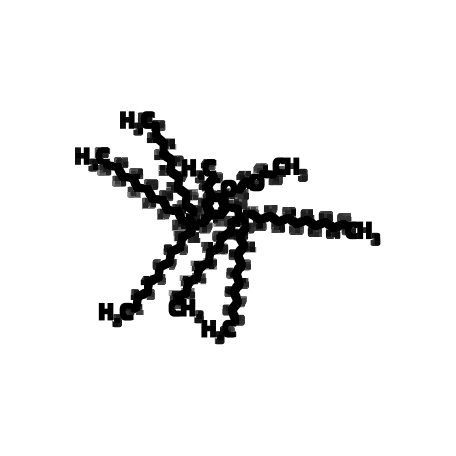 CCCCCCCCCCCC[N+](CCCCCCCCCCCC)(CCCCCCCCCCCC)Cc1cc(CCC)c(OCCOCCC)c(C[N+](CCCCCCCCCCCC)(CCCCCCCCCCCC)CCCCCCCCCCCC)c1